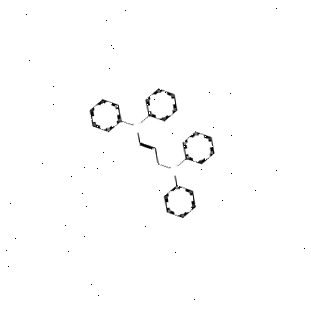 C(=CP(c1ccccc1)c1ccccc1)CP(c1ccccc1)c1ccccc1